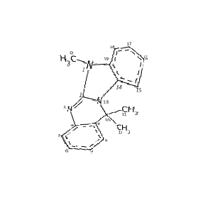 CN1C2=Nc3ccccc3C(C)(C)N2c2ccccc21